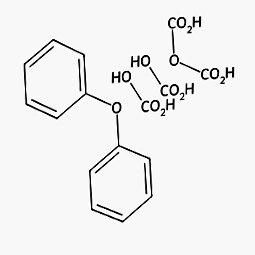 O=C(O)O.O=C(O)O.O=C(O)OC(=O)O.c1ccc(Oc2ccccc2)cc1